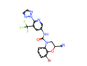 N#CC1CN(C(=O)Nc2cnc(-n3nccn3)c(C(F)(F)F)c2)c2cccc(Br)c2O1